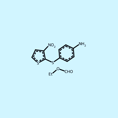 CCOC=O.Nc1ccc(Sc2sccc2[N+](=O)[O-])cc1